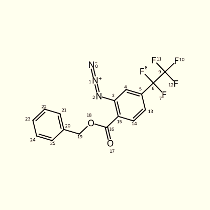 [N-]=[N+]=Nc1cc(C(F)(F)C(F)(F)F)ccc1C(=O)OCc1ccccc1